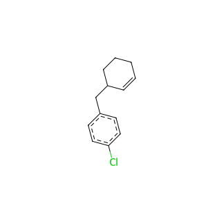 Clc1ccc(CC2C=CCCC2)cc1